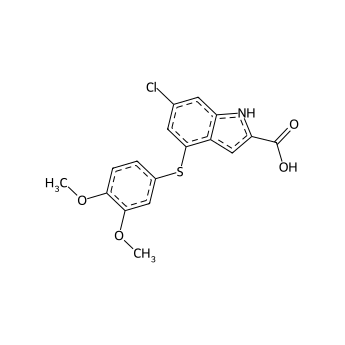 COc1ccc(Sc2cc(Cl)cc3[nH]c(C(=O)O)cc23)cc1OC